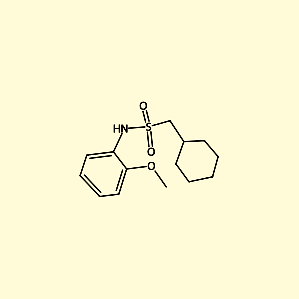 COc1ccccc1NS(=O)(=O)CC1CCCCC1